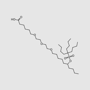 CCCCC(CCCCCOCCOCCOCCCCCC(=O)O)OS(=O)(=O)C(CCCC)(CCCC)CCCC